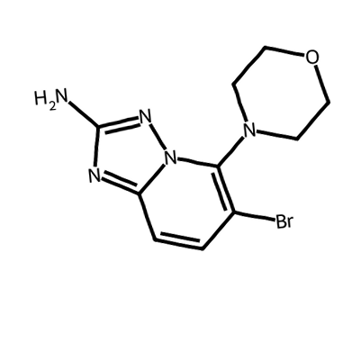 Nc1nc2ccc(Br)c(N3CCOCC3)n2n1